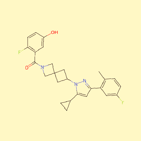 Cc1ccc(F)cc1-c1cc(C2CC2)n(C2CC3(C2)CN(C(=O)c2cc(O)ccc2F)C3)n1